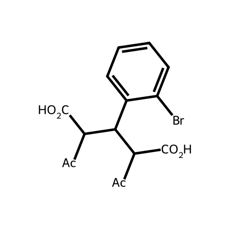 CC(=O)C(C(=O)O)C(c1ccccc1Br)C(C(C)=O)C(=O)O